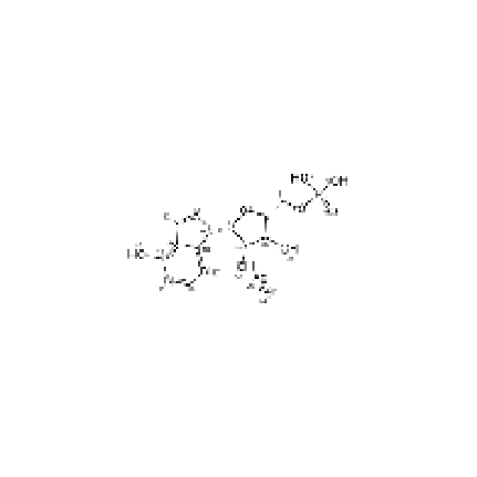 O=P(O)(O)OC[C@H]1O[C@@H](n2cnc3c(O)ncnc32)C(O)C1O.[Ag].[Ag]